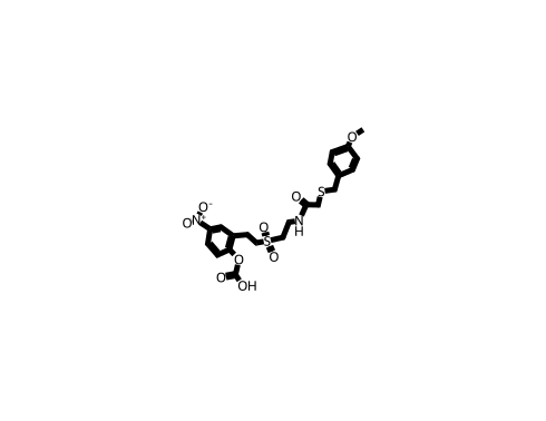 COc1ccc(CSCC(=O)NCCS(=O)(=O)CCc2cc([N+](=O)[O-])ccc2OC(=O)O)cc1